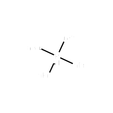 CCCC[PH](CCC)(CCC)CCC